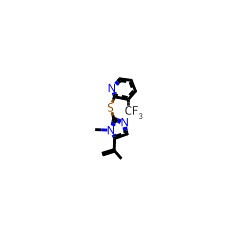 C=C(C)c1cnc(Sc2ncccc2C(F)(F)F)n1C